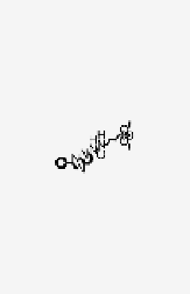 CCOP(=O)(CCCCNC(=O)Nc1ccc2ncc(-c3ccccc3)nc2n1)OCC